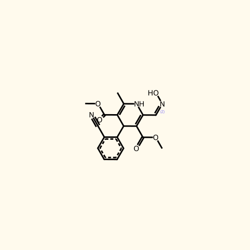 COC(=O)C1=C(C)NC(/C=N\O)=C(C(=O)OC)C1c1ccccc1C#N